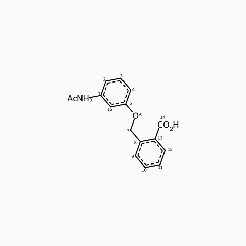 CC(=O)Nc1cccc(OCc2ccccc2C(=O)O)c1